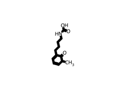 CC1C=CC=C(CCCCNC(=O)O)C1=O